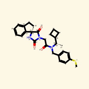 CSc1ccc(CN(C(=O)CN2C(=O)N[C@]3(CCc4ccccc43)C2=O)[C@@H](C)C2CCC2)cc1